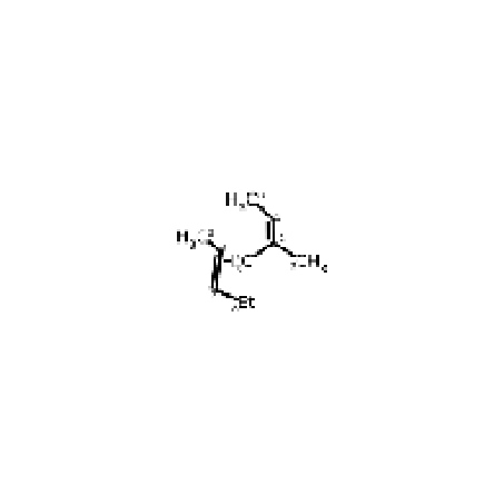 CC=C(C)C.CC=CCC